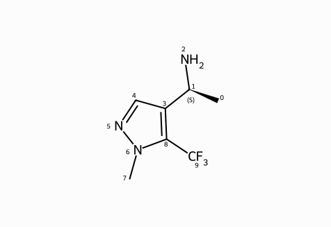 C[C@H](N)c1cnn(C)c1C(F)(F)F